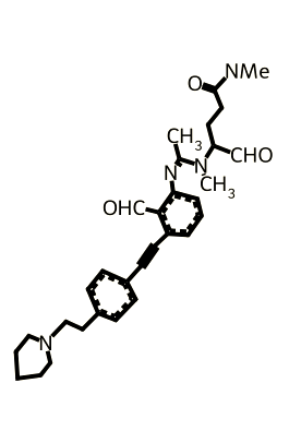 CNC(=O)CCC(C=O)N(C)/C(C)=N\c1cccc(C#Cc2ccc(CCN3CCCCC3)cc2)c1C=O